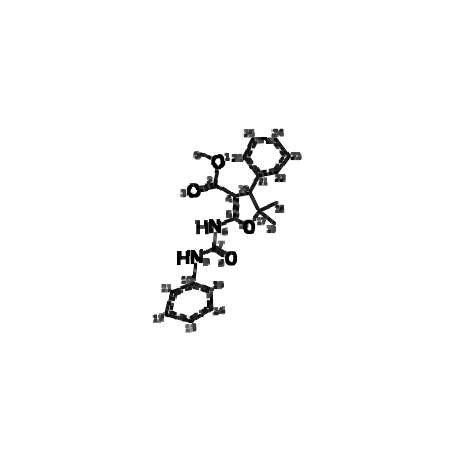 COC(=O)C1=C(NC(=O)Nc2ccccc2)OC(C)(C)C1c1ccccc1